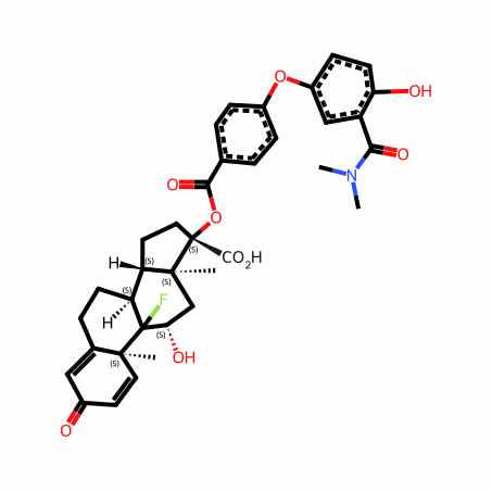 CN(C)C(=O)c1cc(Oc2ccc(C(=O)O[C@@]3(C(=O)O)CC[C@H]4[C@@H]5CCC6=CC(=O)C=C[C@]6(C)C5(F)[C@@H](O)C[C@@]43C)cc2)ccc1O